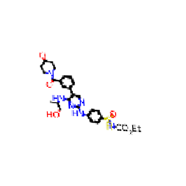 CCOC(=O)/N=[SH](=O)/c1ccc(Nc2ncc(-c3cccc(C(=O)N4CCC(=O)CC4)c3)c(N[C@H](C)CO)n2)cc1